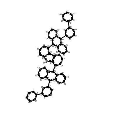 c1ccc(-c2cccc(-c3c4ccccc4c(-c4cccc5c4sc4cccc(-c6c7ccccc7c(-c7cccc(-c8ccccc8)c7)c7ccccc67)c45)c4ccccc34)c2)cc1